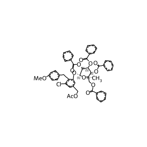 COc1ccc(Cc2c(Cl)cc(COC(C)=O)cc2O[C@H]2O[C@](C)(COC(=O)c3ccccc3)[C@@H](OC(=O)c3ccccc3)[C@H](OC(=O)c3ccccc3)[C@H]2OC(=O)c2ccccc2)cc1